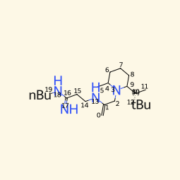 C=C(CN1C(C)CCCC1[C@H](C)C(C)(C)C)NCCC(=N)NCCCC